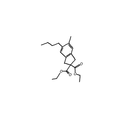 CCCCc1cc2c(cc1C)CC(C(=O)OCC)(C(=O)OCC)C2